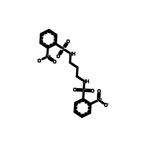 O=[N+]([O-])c1ccccc1S(=O)(=O)NCCCNS(=O)(=O)c1ccccc1[N+](=O)[O-]